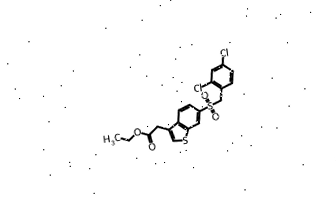 CCOC(=O)Cc1csc2cc(S(=O)(=O)Cc3ccc(Cl)cc3Cl)ccc12